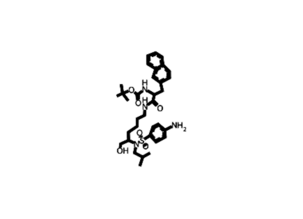 CC(C)CN(C(CO)CCCCNC(=O)C(Cc1ccc2ccccc2c1)NC(=O)OC(C)(C)C)S(=O)(=O)c1ccc(N)cc1